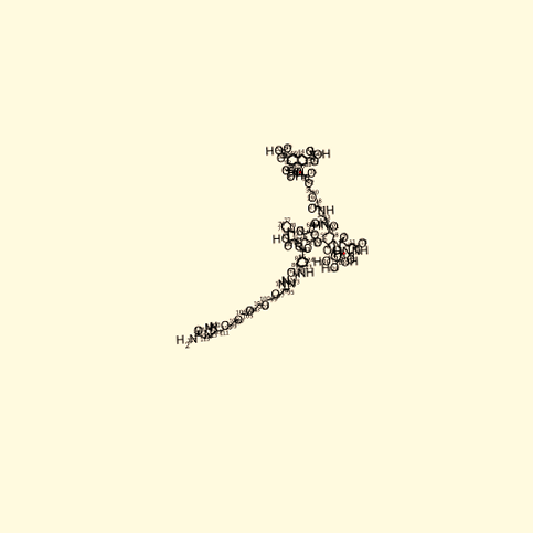 CC1O[C@@H](OC2C(NC(=O)c3cc(=O)[nH]c(=O)[nH]3)CC(C(=O)NCCNC(=O)COCCOCC(=O)Nc3cc(S(=O)(=O)O)cc4cc(S(=O)(=O)O)cc(S(=O)(=O)O)c34)C[C@H]2O[C@H]2OC(CO)[C@H](O)C(O[C@@H](CC3CCCCC3)C(=O)O)C2OC(=O)c2ccc(NC(=O)Cn3cc(COCCOCCOCCOCCOCc4cn(CC(N)=O)nn4)nn3)cc2)C(O)C(O)[C@@H]1O